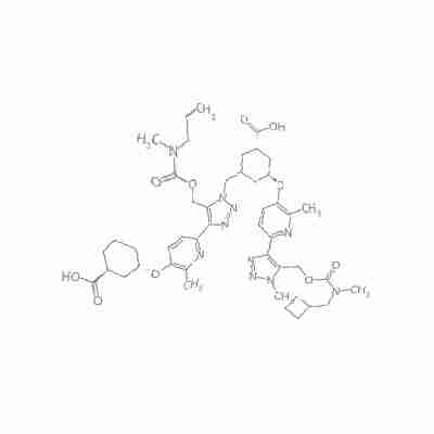 CCCN(C)C(=O)OCc1c(-c2ccc(O[C@H]3CCC[C@H](C(=O)O)C3)c(C)n2)nnn1CC1C[C@H](Oc2ccc(-c3nnn(C)c3COC(=O)N(C)CC3CCC3)nc2C)C[C@@H](C(=O)O)C1